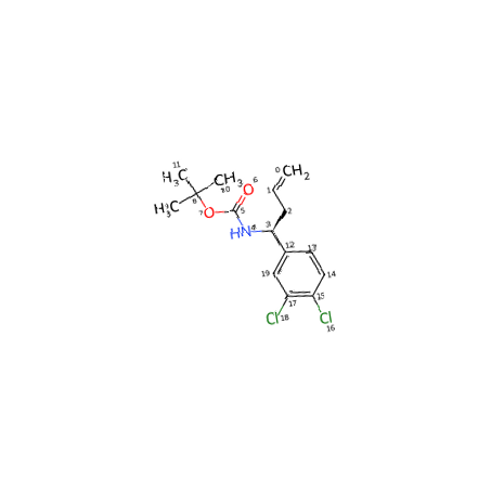 C=CC[C@H](NC(=O)OC(C)(C)C)c1ccc(Cl)c(Cl)c1